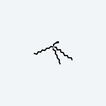 C#CC[PH](CCCCCCCC)(CCCCCCCCC)CCCCCCCCCC